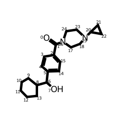 O=C(c1ccc(C(O)C2CCCCC2)cc1)N1CCN(C2CC2)CC1